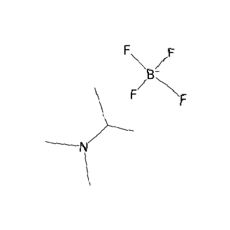 CC(C)N(C)C.F[B-](F)(F)F